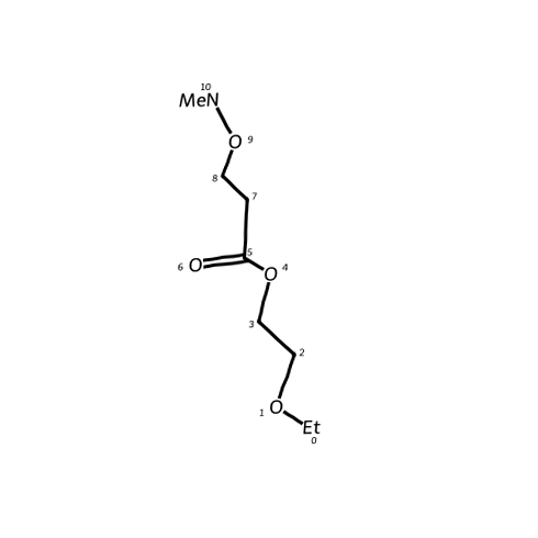 CCOCCOC(=O)CCONC